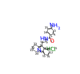 Cl.Nc1ccc(C(=O)NCCc2c3n(c4ccccc24)CCCC3)cc1